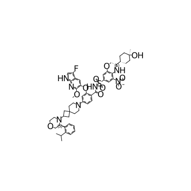 COc1nc2[nH]cc(F)c2cc1Oc1cc(N2CCC3(CC2)CC(N2CCOC[C@@H]2c2ccccc2C(C)C)C3)ccc1C(=O)NS(=O)(=O)c1cc2c(c([N+](=O)[O-])c1)N[C@@H]([C@H]1CC[C@](C)(O)CC1)CO2